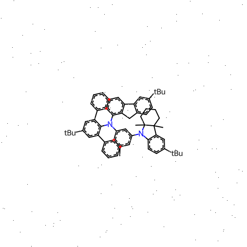 Cc1cc(N(c2cccc3c2Cc2ccc(C(C)(C)C)cc2-3)c2c(-c3ccccc3)cc(C(C)(C)C)cc2-c2ccccc2)cc(N2c3ccc(C(C)(C)C)cc3C3(C)CCCCC23C)c1